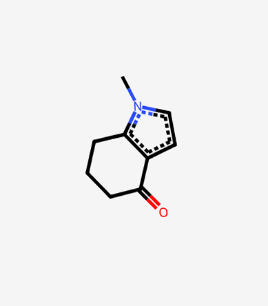 Cn1ccc2c1CCCC2=O